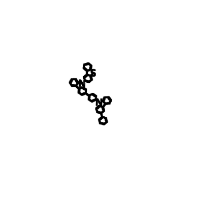 c1ccc(-c2ccc3c(c2)c2ccccc2n3-c2ccc(-c3ccc4c5ccccc5n(-c5ccc6sc7ccccc7c6c5)c4c3)cc2)cc1